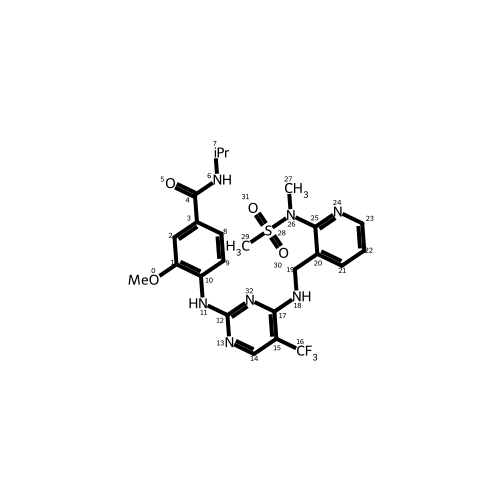 COc1cc(C(=O)NC(C)C)ccc1Nc1ncc(C(F)(F)F)c(NCc2cccnc2N(C)S(C)(=O)=O)n1